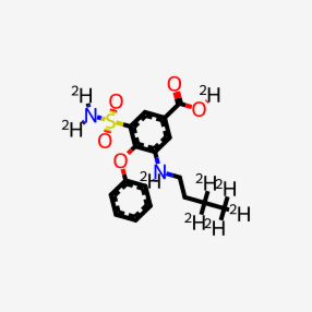 [2H]OC(=O)c1cc(N([2H])CCC([2H])([2H])C([2H])([2H])[2H])c(Oc2ccccc2)c(S(=O)(=O)N([2H])[2H])c1